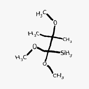 COC(C)(C)C([SiH3])(OC)OC